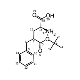 CC(C)(C)OC(=O)C(Cc1ccccc1)C[C@H](N)C(=O)O